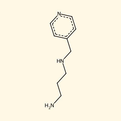 NCCCNCc1ccncc1